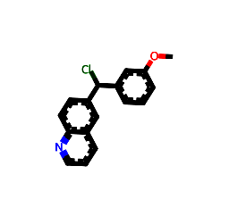 COc1cccc(C(Cl)c2ccc3ncccc3c2)c1